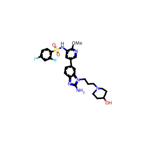 COc1ncc(-c2ccc3nc(N)n(CCCN4CCC(O)CC4)c3c2)cc1NS(=O)(=O)c1ccc(F)cc1F